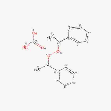 CC(OOC(C)c1ccccc1)c1ccccc1.O=C(O)O